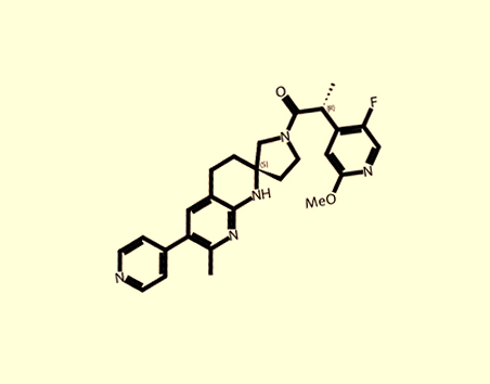 COc1cc([C@@H](C)C(=O)N2CC[C@@]3(CCc4cc(-c5ccncc5)c(C)nc4N3)C2)c(F)cn1